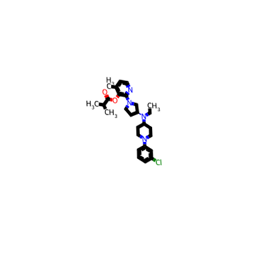 CCN(C1CCN(c2cccc(Cl)c2)CC1)[C@@H]1CCN(c2nccc(C)c2OC(=O)C(C)C)C1